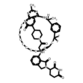 Cc1nc2c3cc(C4CCN(C(=O)CNc5cccc6c5C(=O)N(C5CCC(=O)NC5=O)C6)CC4)c(=O)n(c3n1)CCCOCCCCN1CC(C1)CC(F)(F)c1cccc(c1)[C@@H](C)N2